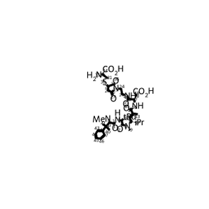 CN[C@H](C(=O)NC(C(=O)N(C)[C@H](/C=C(\C)C(=O)N[C@H](CC(=O)O)C(=O)NCCN1C(=O)CC(SC[C@H](N)C(=O)O)C1=O)C(C)C)C(C)(C)C)C(C)(C)c1ccccc1